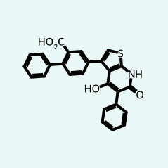 O=C(O)c1cc(-c2csc3[nH]c(=O)c(-c4ccccc4)c(O)c23)ccc1-c1ccccc1